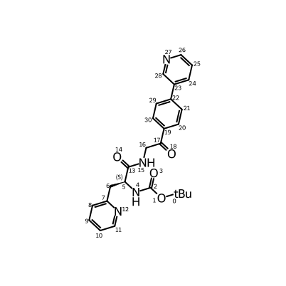 CC(C)(C)OC(=O)N[C@@H](Cc1ccccn1)C(=O)NCC(=O)c1ccc(-c2cccnc2)cc1